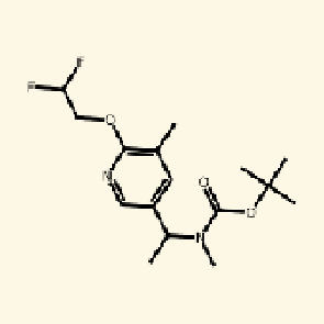 Cc1cc(C(C)N(C)C(=O)OC(C)(C)C)cnc1OCC(F)F